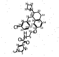 Cn1cnc(S(=O)(=O)NCCOc2ccc3c(c2)C(Cc2cccc(Cl)c2)C(N2CCC2)CC3)c1